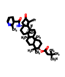 Cc1ncccc1C(=O)N[C@@]12CC[C@]3(C)[C@H](CCC4C5(C)CC[C@H](OC(=O)CC(C)(C)C(=O)O)C(C)(C)C5CC[C@]43C)C1=C(C(C)C)C(=O)C2